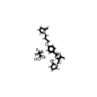 Cc1nc(-c2ccc(OCCCN3CCCC3C)cc2)sc1CN1CCCC1=O.O=C(O)C(F)(F)F